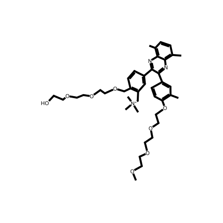 COCCOCCOCCOc1ccc(-c2nc3c(C)ccc(C)c3nc2-c2ccc(COCCOCCOCCO)c(C[N+](C)(C)C)c2)cc1C